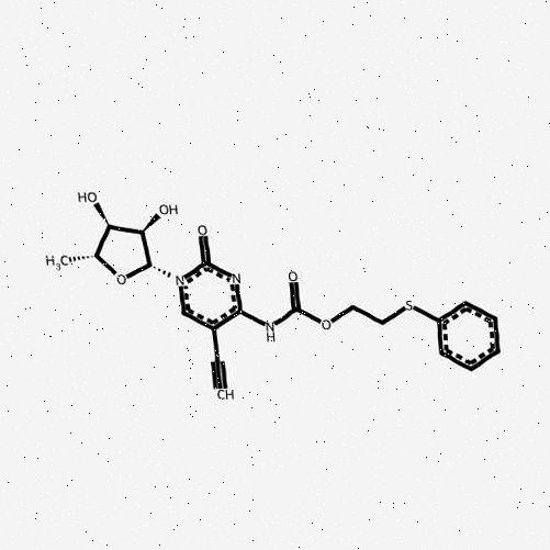 C#Cc1cn([C@@H]2O[C@H](C)[C@@H](O)[C@H]2O)c(=O)nc1NC(=O)OCCSc1ccccc1